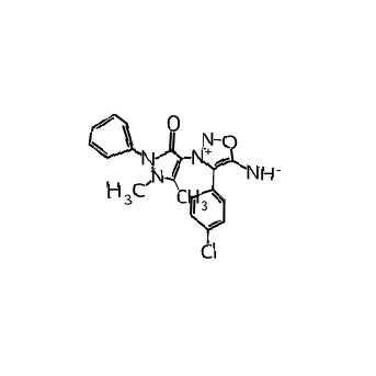 Cc1c(-[n+]2noc([NH-])c2-c2ccc(Cl)cc2)c(=O)n(-c2ccccc2)n1C